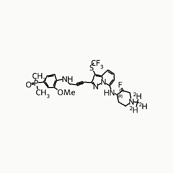 [2H]C([2H])([2H])N1CC[C@@H](Nc2cccc3c(SC(F)(F)F)c(C#CCNc4ccc(P(C)(C)=O)cc4OC)nn23)[C@@H](F)C1